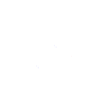 CC(C)N1COCC2CN(C)CC21